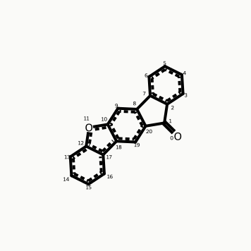 O=C1c2ccccc2-c2cc3oc4ccccc4c3cc21